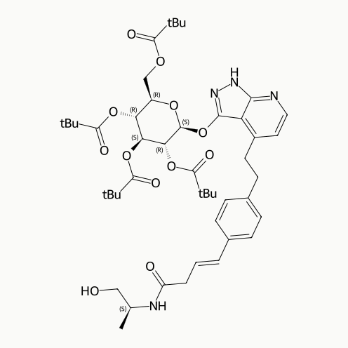 C[C@@H](CO)NC(=O)CC=Cc1ccc(CCc2ccnc3[nH]nc(O[C@@H]4O[C@H](COC(=O)C(C)(C)C)[C@@H](OC(=O)C(C)(C)C)[C@H](OC(=O)C(C)(C)C)[C@H]4OC(=O)C(C)(C)C)c23)cc1